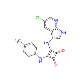 O=c1c(Nc2ccc(C(F)(F)F)cc2)c(Nc2c[nH]c3ncc(Cl)cc23)c1=O